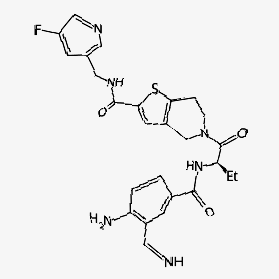 CC[C@@H](NC(=O)c1ccc(N)c(C=N)c1)C(=O)N1CCc2sc(C(=O)NCc3cncc(F)c3)cc2C1